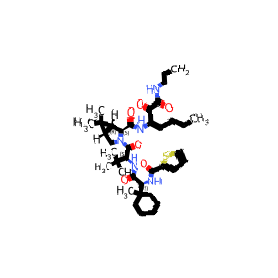 C=CCNC(=O)C(=O)C(CCCC)NC(=O)[C@@H]1[C@@H]2[C@H](CN1C(=O)[C@@H](NC(=O)[C@@H](NC(=O)c1cccs1)C1(C)CCCCC1)C(C)(C)C)C2(C)C